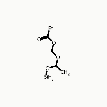 CCC(=O)OCOC(C)O[SiH3]